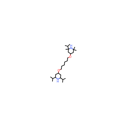 CC(C)C1CC(OCCCCCCOC2CC(C)(C)NC(C)(C(C)C)C2)CC(C(C)C)N1